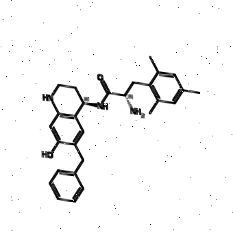 Cc1cc(C)c(C[C@H](N)C(=O)N[C@@H]2CCNc3cc(O)c(Cc4ccccc4)cc32)c(C)c1